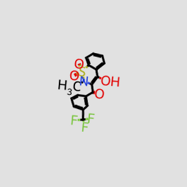 CN1C(C(=O)c2cccc(C(F)(F)F)c2)=C(O)c2ccccc2S1(=O)=O